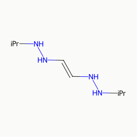 CC(C)NNC=CNNC(C)C